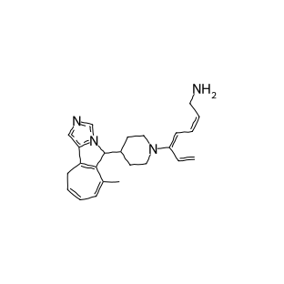 C=C/C(=C\C=C/CN)N1CCC(C2C3=C(CC=CC=C3C)c3cncn32)CC1